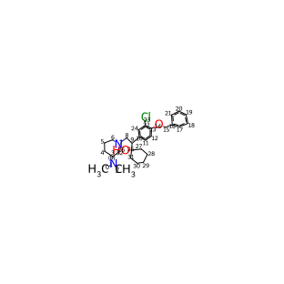 CN(C)[C@@H]1CCCN(CC(c2ccc(OCc3ccccc3)c(Cl)c2)C2(O)CCCCC2)C1